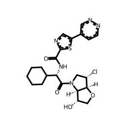 O=C(N[C@H](C(=O)N1C[C@H](Cl)[C@H]2OC[C@H](O)[C@H]21)C1CCCCC1)c1ncc(-c2ccnnc2)s1